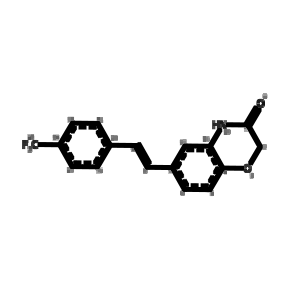 O=C1COc2ccc(C=Cc3ccc(C(F)(F)F)cc3)cc2N1